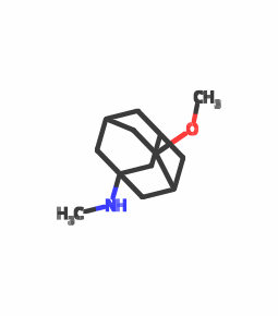 CNC12CC3CC(CC(OC)C(C3)C1)C2